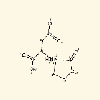 NC(CC(=O)O)C(=O)O.O=C1NCCO1